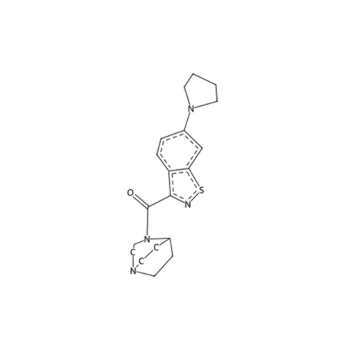 O=C(c1nsc2cc(N3CCCC3)ccc12)N1CCN2CCC1CC2